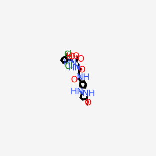 COC1CCC(Nc2cccc(C(=O)NCC(=O)NC[C@H](NC(=O)c3c(Cl)cccc3Cl)C(=O)O)c2)NC1